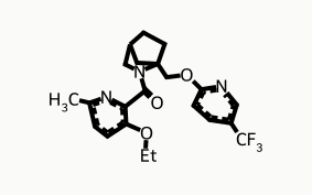 CCOc1ccc(C)nc1C(=O)N1CC2CCC1(COc1ccc(C(F)(F)F)cn1)C2